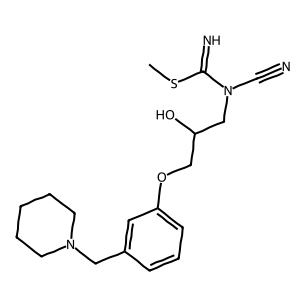 CSC(=N)N(C#N)CC(O)COc1cccc(CN2CCCCC2)c1